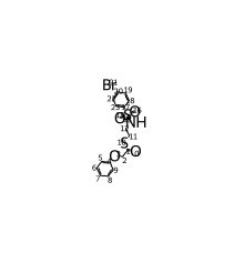 O=C(COc1ccccc1)SCCNS(=O)(=O)c1ccc(Br)cc1